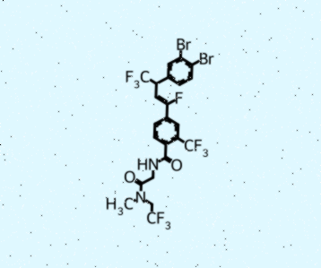 CN(CC(F)(F)F)C(=O)CNC(=O)c1ccc(/C(F)=C/C(c2ccc(Br)c(Br)c2)C(F)(F)F)cc1C(F)(F)F